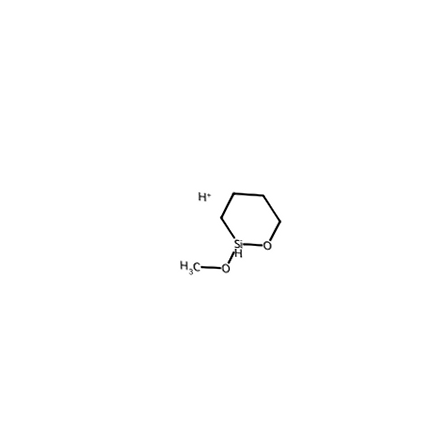 CO[SiH]1CCCCO1.[H+]